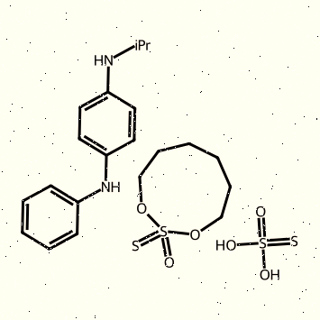 CC(C)Nc1ccc(Nc2ccccc2)cc1.O=S(O)(O)=S.O=S1(=S)OCCCCCCO1